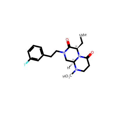 CSC[C@@H]1C(=O)N(CCc2cccc(F)c2)C[C@@H]2N(C(=O)O)CCC(=O)N12